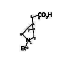 CCN1CC2C(CC(=O)O)C2C1